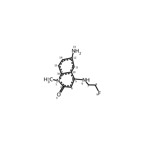 Cn1c(=O)cc(NCCF)c2cc(N)ccc21